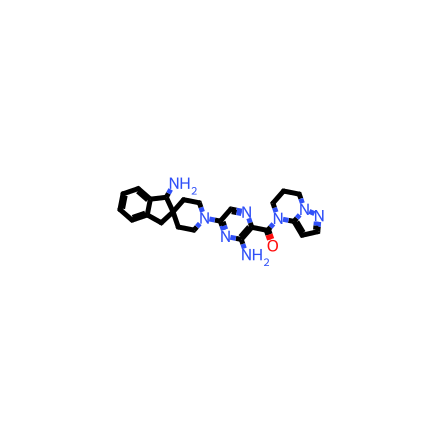 Nc1nc(N2CCC3(CC2)Cc2ccccc2C3N)cnc1C(=O)N1CCCn2nccc21